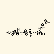 CC(=O)N(O)CCOCCNC(=O)CCC(=O)N(C=O)CCOCCNC(=O)CCC(=O)N(O)CCOCCNC(=O)CCN(O)C(=O)CCOCCI